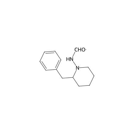 O=[C]NN1CCCCC1Cc1ccccc1